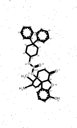 CC1C(N)CCC23c4cccc(O)c4OC2C(=O)CCC13OS(=O)OC1CCC(c2ccccc2)(c2ccccc2)CC1